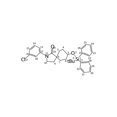 CC(C)(C)[Si](OC1CCC2(CC1)CCN(c1cccc(Cl)c1)C2=O)(c1ccccc1)c1ccccc1